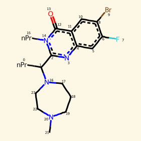 CCCC(c1nc2cc(F)c(Br)cc2c(=O)n1CCC)N1CCCN(C)CC1